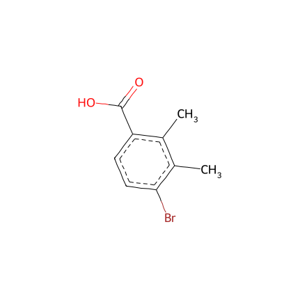 Cc1c(Br)ccc(C(=O)O)c1C